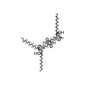 CCCCCCCCCC[C@@H](O)CN(CCCCC1NC(=O)C(CCCCN(C[C@H](O)CCCCCCCCCC)C[C@@H](C)O)NC1=O)C[C@@H](O)CCCCCCCCCC